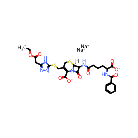 CCOC(=O)Cc1nnc(SCC2=C(C(=O)[O-])N3C(=O)C(NC(=O)CCCC(NC(=O)c4ccccc4)C(=O)[O-])[C@@H]3SC2)[nH]1.[Na+].[Na+]